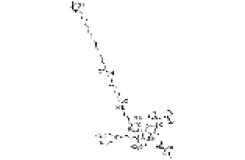 CC(=O)N1CCC[C@H]1C(=O)N1CCC[C@H]1C(=O)N[C@@H](CCCNC(=N)N)C(=O)N[C@@H](CC(=O)O)C(=O)N[C@@H](CCCCN(CC(=O)O)CC(=O)O)C(=O)N[C@@H](CCCCNC(=O)COCCOCCNC(=O)CCCCCCCCCCCCCCCc1nnn[nH]1)C(N)=O